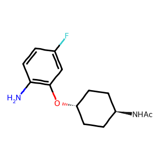 CC(=O)N[C@H]1CC[C@H](Oc2cc(F)ccc2N)CC1